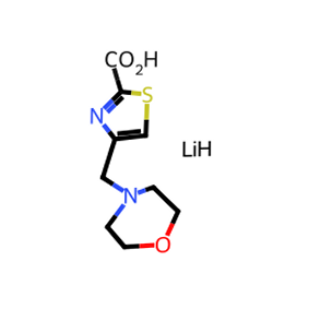 O=C(O)c1nc(CN2CCOCC2)cs1.[LiH]